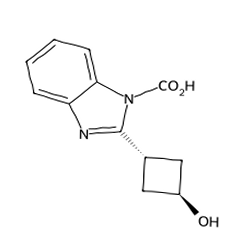 O=C(O)n1c2ccccc2nc1[C@H]1C[C@H](O)C1